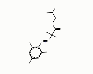 O=C(OCC(Cl)Cl)C(Cl)(Cl)/N=N/c1c(Cl)cc(Cl)cc1Cl